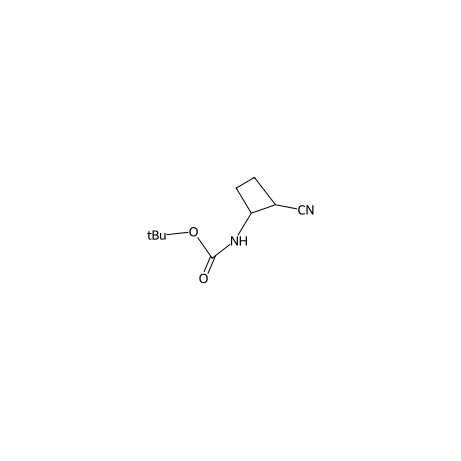 CC(C)(C)OC(=O)NC1CCC1C#N